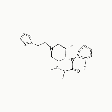 COC(C)C(=O)N(c1ccccc1F)[C@@H]1CCN(CCc2cccs2)C[C@@H]1C